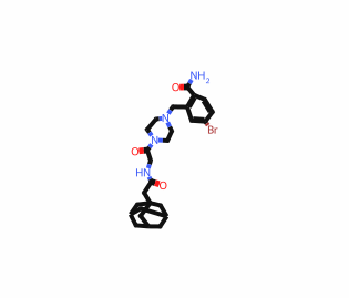 NC(=O)c1ccc(Br)cc1CN1CCN(C(=O)CNC(=O)CC23CC4CC(CC(C4)C2)C3)CC1